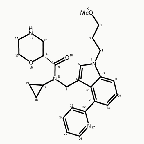 COCCCn1cc(CN(C(=O)[C@H]2CNCCO2)C2CC2)c2c(-c3ccccn3)cccc21